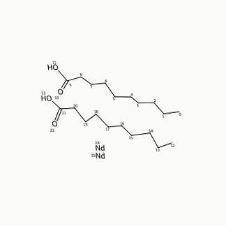 CCCCCCCCCC(=O)O.CCCCCCCCCC(=O)O.[Nd].[Nd]